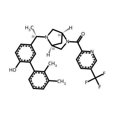 Cc1cccc(-c2cc([C@H](C)N3C[C@@H]4C[C@H]3CN4C(=O)c3ccc(C(F)(F)F)cn3)ccc2O)c1C